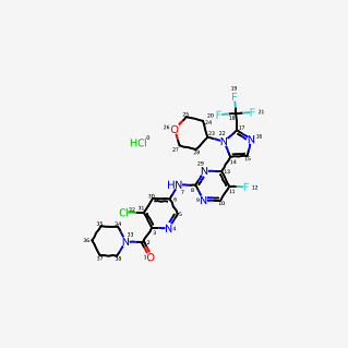 Cl.O=C(c1ncc(Nc2ncc(F)c(-c3cnc(C(F)(F)F)n3C3CCOCC3)n2)cc1Cl)N1CCCCC1